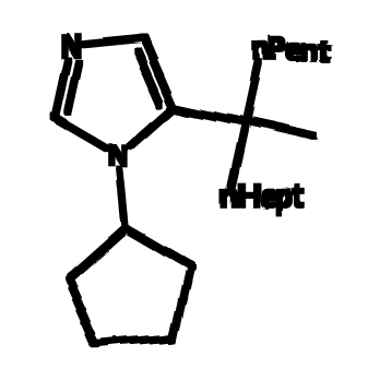 CCCCCCCC(C)(CCCCC)c1cncn1C1CCCC1